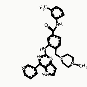 CN1CCN(Cc2ccc(C(=O)Nc3cccc(C(F)(F)F)c3)cc2Nc2nc(-c3cccnc3)c3[nH]ccc3n2)CC1